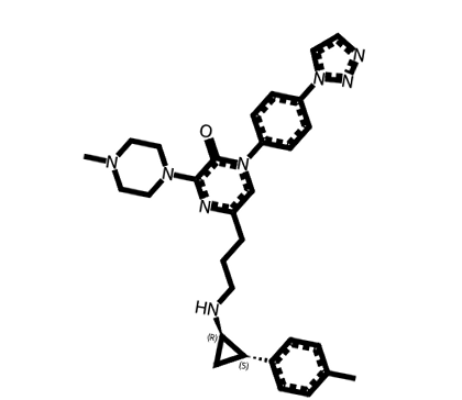 Cc1ccc([C@@H]2C[C@H]2NCCCc2cn(-c3ccc(-n4ccnn4)cc3)c(=O)c(N3CCN(C)CC3)n2)cc1